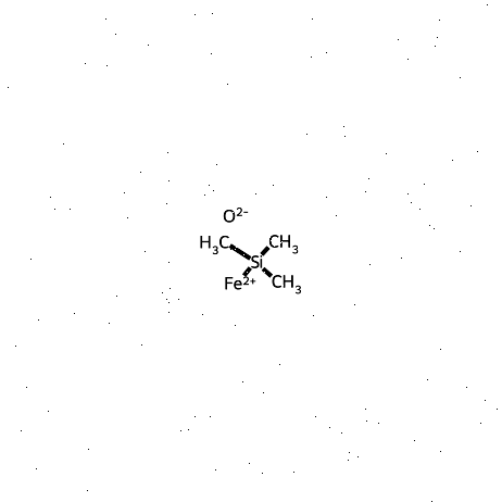 C[Si](C)(C)[Fe+2].[O-2]